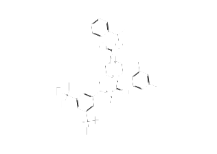 Cc1cc(F)ccc1[C@H]1CN(C(=O)OC(C)c2ccccc2)CCN1C(=O)N(C)[C@H](C)c1cc(C(F)(F)F)cc(C(F)(F)F)c1